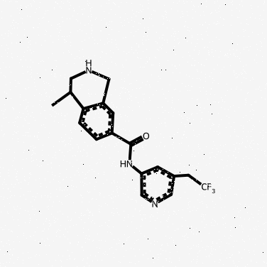 CC1CNCc2cc(C(=O)Nc3cncc(CC(F)(F)F)c3)ccc21